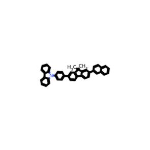 CC1(C)c2cc(-c3ccc(-n4c5ccccc5c5ccccc54)cc3)ccc2-c2ccc(-c3ccc4ccccc4c3)cc21